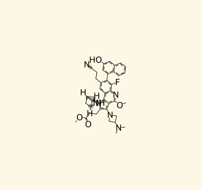 COC(=O)CCc1c(N2CC(N(C)C)C2)c2c(OC)nc3c(F)c(-c4cc(O)cc5ccccc45)c(CCC#N)cc3c2n1[C@H]1[C@H]2CN[C@@H]1C2